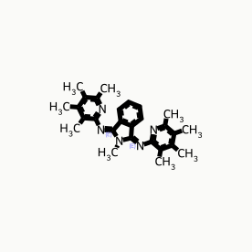 Cc1nc(/N=C2\c3ccccc3/C(=N\c3nc(C)c(C)c(C)c3C)N2C)c(C)c(C)c1C